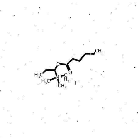 CCCCCC(=O)OC(CC)[N+](C)(C)C.[I-]